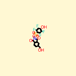 O=C1c2ccc(CO)cc2C(=O)N1OS(=O)(=O)c1c(F)c(F)c(O)c(F)c1F